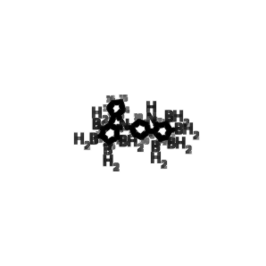 Bc1c(B)c(B)c2c([nH]c3cc(-n4c5ccccc5c5c(B)c(B)c(B)c(B)c54)ccc32)c1B